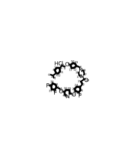 CC(C)c1ccc(CCOc2ccc(CN3CCN(C(=O)C=Cc4ccc(Oc5ccc(OCc6ccc(F)cc6F)cn5)c(F)c4)CC3)cc2)cc1.Cl